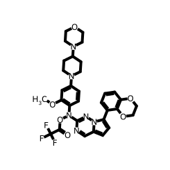 COc1cc(N2CCC(N3CCOCC3)CC2)ccc1N(OC(=O)C(F)(F)F)c1ncc2ccc(-c3cccc4c3OCCO4)n2n1